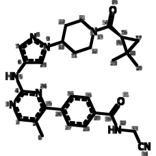 Cc1cnc(Nc2cnn(C3CCN(C(=O)[C@H]4CC4(C)C)CC3)c2)nc1-c1ccc(C(=O)NCC#N)cc1